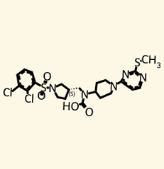 CSc1nccc(N2CCC(N(C[C@@H]3CCN(S(=O)(=O)c4cccc(Cl)c4Cl)C3)C(=O)O)CC2)n1